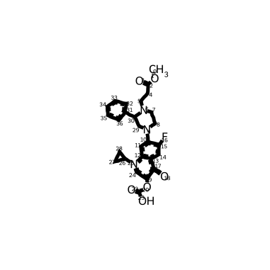 COC(=O)CCN1CCN(c2cc3c(cc2F)c(=O)c(OC(=O)O)cn3C2CC2)CC1c1ccccc1